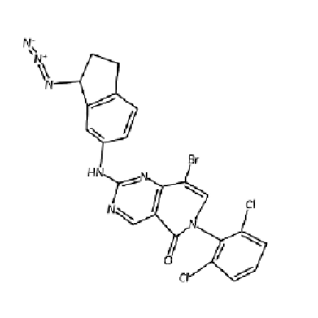 [N-]=[N+]=NC1CCc2ccc(Nc3ncc4c(=O)n(-c5c(Cl)cccc5Cl)cc(Br)c4n3)cc21